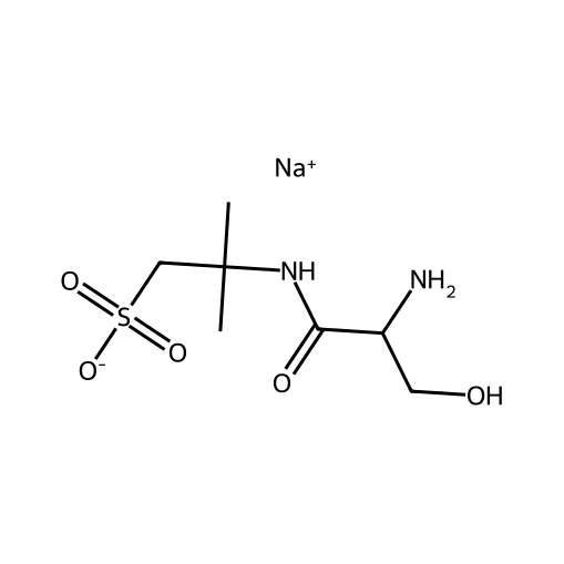 CC(C)(CS(=O)(=O)[O-])NC(=O)C(N)CO.[Na+]